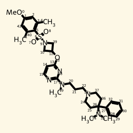 COc1cc(C)c(S(=O)(=O)N2CC(Oc3ccnc(N(C)CCCN4CCC(c5ccccc5)(N(C)C)CC4)n3)C2)c(C)c1